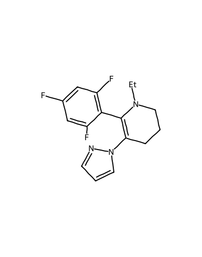 CCN1CCCC(n2cccn2)=C1c1c(F)cc(F)cc1F